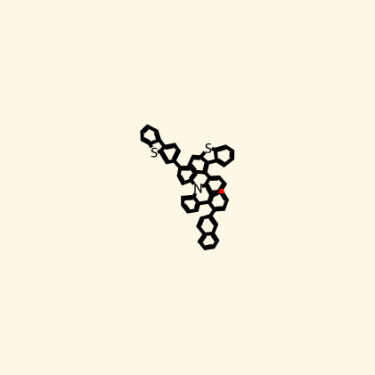 c1ccc(-c2ccccc2N(c2ccc(-c3ccc4c(c3)sc3ccccc34)cc2)c2ccccc2-c2cccc3sc4ccccc4c23)c(-c2ccc3ccccc3c2)c1